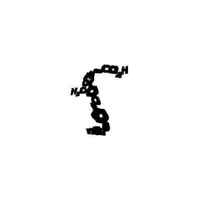 CCCCOc1ccc(COc2ccc(C3CN(CCC(=O)O)CCO3)c(C)c2)cc1